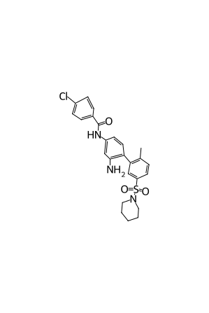 Cc1ccc(S(=O)(=O)N2CCCCC2)cc1-c1ccc(NC(=O)c2ccc(Cl)cc2)cc1N